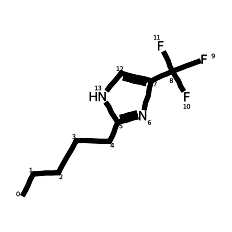 CCCCCc1nc(C(F)(F)F)c[nH]1